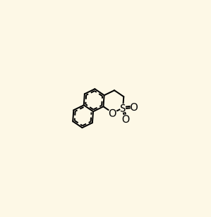 O=S1(=O)CCc2ccc3ccccc3c2O1